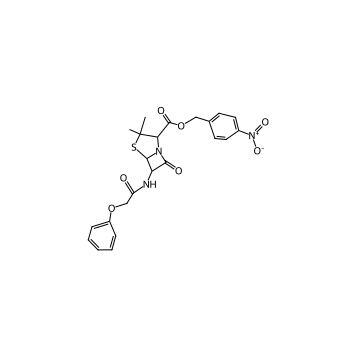 CC1(C)SC2C(NC(=O)COc3ccccc3)C(=O)N2C1C(=O)OCc1ccc([N+](=O)[O-])cc1